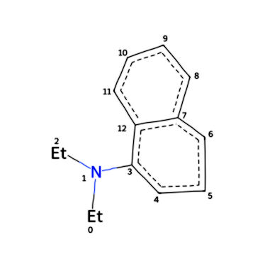 CCN(CC)c1cccc2ccccc12